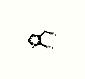 NCc1ccsc1N